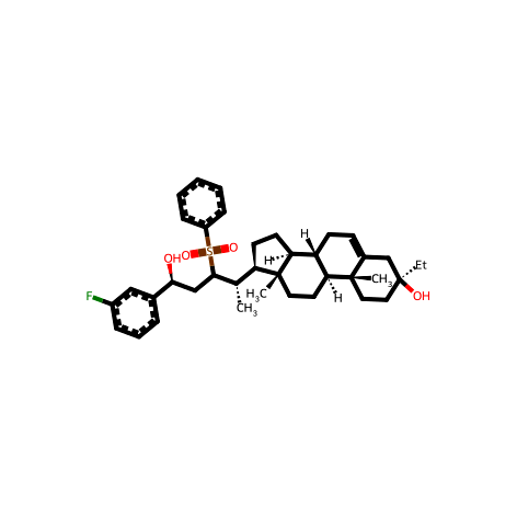 CC[C@]1(O)CC[C@@]2(C)C(=CC[C@H]3[C@@H]4CC[C@H]([C@H](C)C(C[C@H](O)c5cccc(F)c5)S(=O)(=O)c5ccccc5)[C@@]4(C)CC[C@@H]32)C1